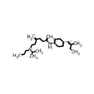 C=C(CCC(=C)N[C@H]1CC[C@H](/C=C(/C)CC)CC1)CCN(CCC)C(C)C